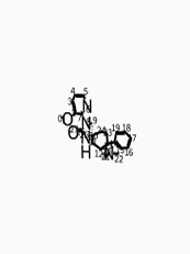 COc1cccnc1N1C[C@]2(CC[C@](c3ccccc3)(N(C)C)CC2)NC1=O